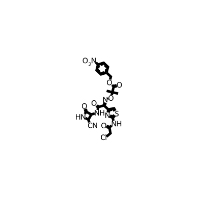 CC(C)(ON=C(C(=O)NC1C(=O)NC1C#N)c1csc(NC(=O)CCl)n1)C(=O)OCc1ccc([N+](=O)[O-])cc1